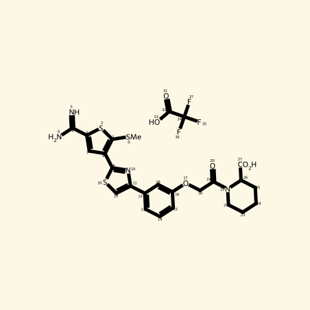 CSc1sc(C(=N)N)cc1-c1nc(-c2cccc(OCC(=O)N3CCCCC3C(=O)O)c2)cs1.O=C(O)C(F)(F)F